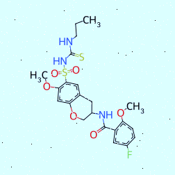 CCCNC(=S)NS(=O)(=O)c1cc2c(cc1OC)OCC(NC(=O)c1cc(F)ccc1OC)C2